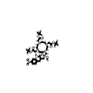 COC(=O)C(Cc1ccc([N+](=O)[O-])cc1)CP(=O)(CN1CCN(CC(=O)OC(C)(C)C)CCN(CC(=O)OC(C)(C)C)CCN(CC(=O)OC(C)(C)C)CC1)OC